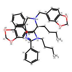 CCCC[C@@H](c1c(-c2ccccc2)nc(-c2ccccc2)n1CCCC)N(Cc1ccc2c(c1)OCO2)Cc1ccc2c(c1)OCO2